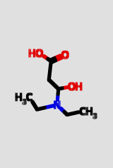 CCN(CC)C(O)CC(=O)O